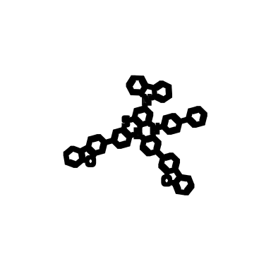 C1=Cc2oc3cc(-c4ccc5c(c4)Sc4cc(-n6c7ccccc7c7ccccc76)cc6c4B5c4ccc(-c5ccc7c(c5)oc5ccccc57)cc4N6c4ccc(-c5ccccc5)cc4)ccc3c2CC1